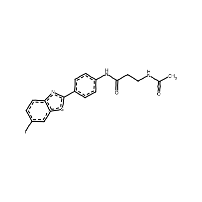 CC(=O)NCCC(=O)Nc1ccc(-c2nc3ccc(I)cc3s2)cc1